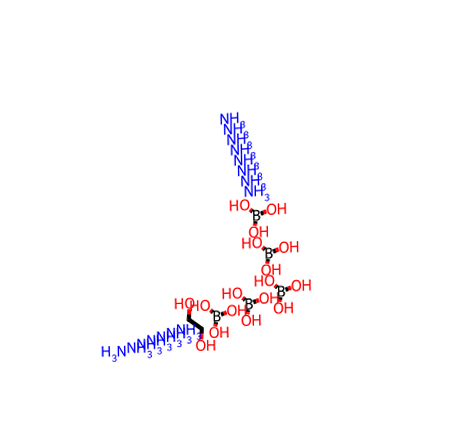 N.N.N.N.N.N.N.N.N.N.N.N.N.N.N.OB(O)O.OB(O)O.OB(O)O.OB(O)O.OB(O)O.OCCO